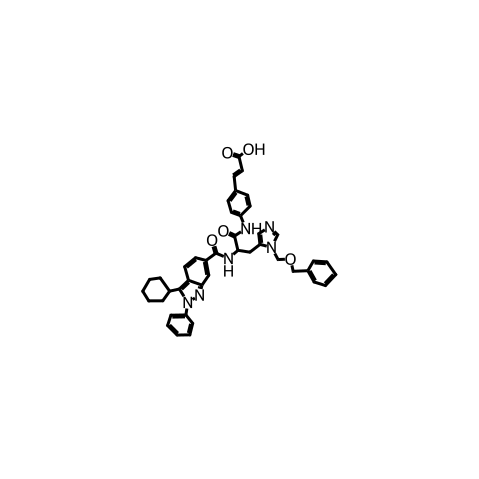 O=C(O)/C=C/c1ccc(NC(=O)C(Cc2cncn2COCc2ccccc2)NC(=O)c2ccc3c(C4CCCCC4)n(-c4ccccc4)nc3c2)cc1